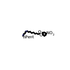 CCCCC/C=C\C/C=C\CCCCCCCC(=O)Oc1ccc([N+](=O)[O-])cc1